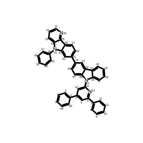 c1ccc(-c2cc(-c3ccccc3)nc(-n3c4ccccc4c4cc(-c5ccc6c7ncccc7n(-c7ccccc7)c6c5)ccc43)c2)cc1